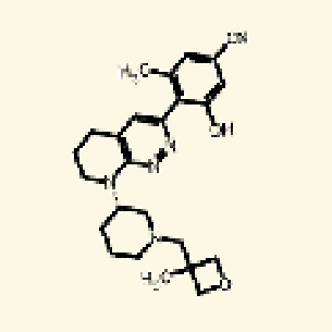 Cc1cc(C#N)cc(O)c1-c1cc2c(nn1)N([C@H]1CCCN(CC3(C)COC3)C1)CCC2